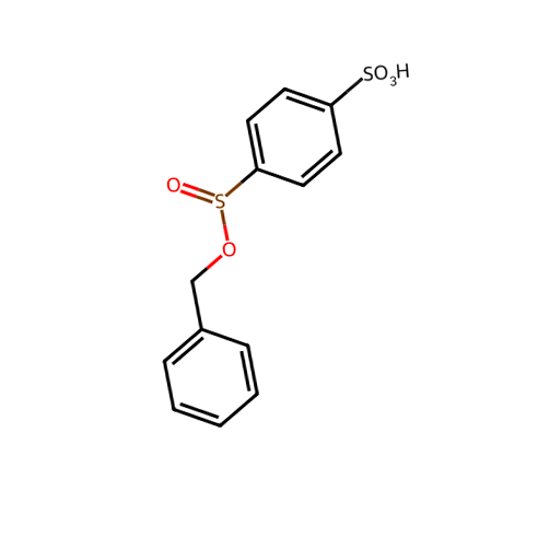 O=S(OCc1ccccc1)c1ccc(S(=O)(=O)O)cc1